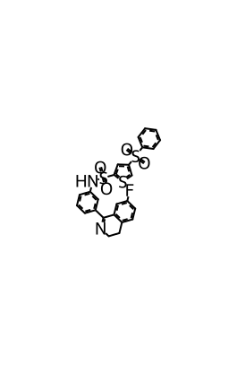 O=S(=O)(Nc1cccc(C2=NCCc3ccc(F)cc32)c1)c1cc(S(=O)(=O)c2ccccc2)cs1